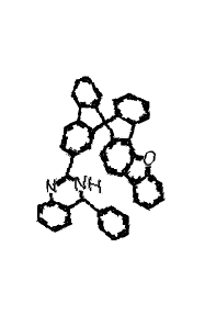 c1ccc(C2NC(c3ccc4c(c3)C3(c5ccccc5-4)c4ccccc4-c4c3ccc3c4oc4ccccc43)=Nc3ccccc32)cc1